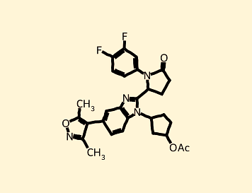 CC(=O)OC1CCC(n2c(C3CCC(=O)N3c3ccc(F)c(F)c3)nc3cc(-c4c(C)noc4C)ccc32)C1